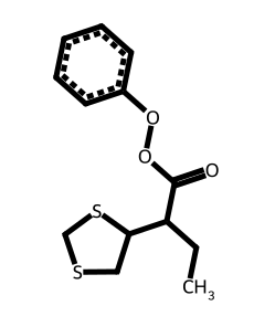 CCC(C(=O)OOc1ccccc1)C1CSCS1